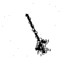 CN(C)CCOCCOCCOCCOCCOCCOCCC(=O)OCC(=O)[C@H](C[C@@H]1CCNC1=O)NC(=O)[C@@H]1[C@@H]2C(CN1C(=O)[C@@H](NC(=O)C(F)(F)F)C(C)(C)C)C2(C)C